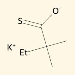 CCC(C)(C)C([O-])=S.[K+]